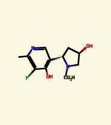 Cc1ncc([C@@H]2C[C@@H](O)CN2C(=O)O)c(O)c1F